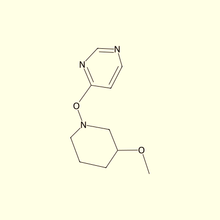 COC1CCCN(Oc2ccncn2)C1